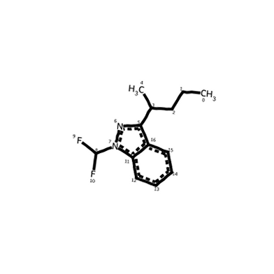 CCCC(C)c1nn(C(F)F)c2ccccc12